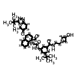 CC(C)(C)c1cc(NC(=O)N[C@@]2(C=O)C=C[C@@H](Oc3ccc4nnc(C(C)(C)C)n4c3)c3ccccc32)cc(C(=O)NCCN2CC(O)C2)n1